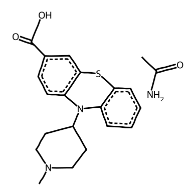 CC(N)=O.CN1CCC(N2c3ccccc3Sc3cc(C(=O)O)ccc32)CC1